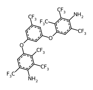 Nc1c(C(F)(F)F)cc(Oc2cc(Oc3cc(C(F)(F)F)c(N)c(C(F)(F)F)c3C(F)(F)F)cc(C(F)(F)F)c2)c(C(F)(F)F)c1C(F)(F)F